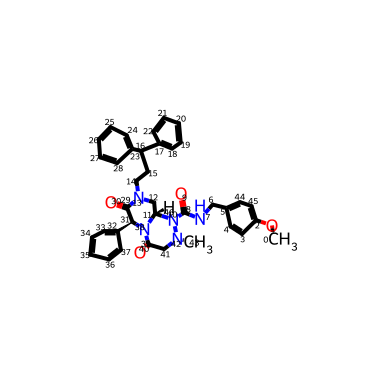 COc1ccc(CNC(=O)N2[C@H]3CN(CCC(c4ccccc4)c4ccccc4)C(=O)[C@H](c4ccccc4)N3C(=O)CN2C)cc1